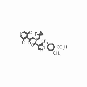 C[C@H]1C[C@H](n2ncc(C(=O)N(CC(=O)c3c(Cl)cncc3Cl)CC3(F)CC3)c2C(F)(F)F)CC[C@H]1C(=O)O